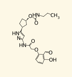 CCCNC(=O)O[C@@H]1CC[C@H](c2cc(NC(=O)COc3cccc(O)c3C=O)n[nH]2)C1